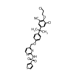 CC(C)(c1ccc(OCc2ccnc(NS(=O)(=O)c3ccsc3)n2)cc1)c1cc(Cl)c(OCCCl)c(C#N)c1